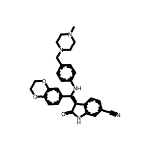 CN1CCN(Cc2ccc(NC(=C3C(=O)Nc4cc(C#N)ccc43)c3ccc4c(c3)OCCO4)cc2)CC1